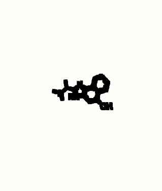 CC(c1nc2c(cc(O)c3ccccc32)[nH]1)N(C)C